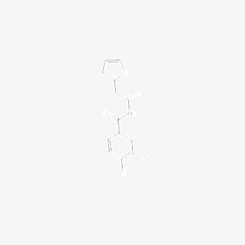 C[C@@H](Cc1cccs1)NC(=O)c1ccc(Cl)c(Cl)c1